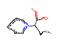 CCC(C(=O)[O-])[n+]1ccccc1